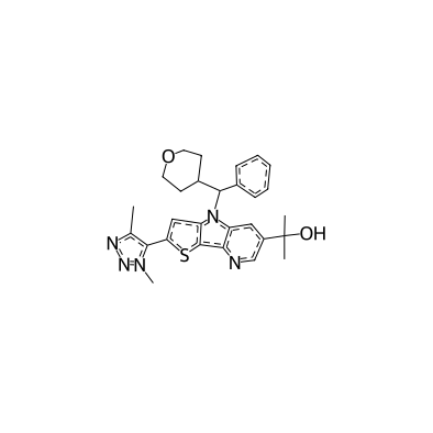 Cc1nnn(C)c1-c1cc2c(s1)c1ncc(C(C)(C)O)cc1n2C(c1ccccc1)C1CCOCC1